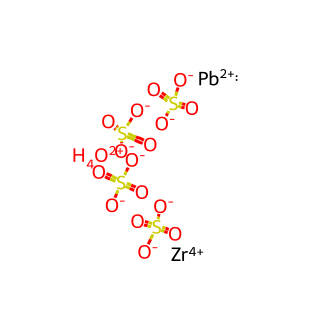 O=S(=O)([O-])[O-].O=S(=O)([O-])[O-].O=S(=O)([O-])[O-].O=S(=O)([O-])[O-].[OH4+2].[Pb+2].[Zr+4]